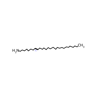 CCCCCCCCCCCCCCCCCCC/C=C/CCCCCCCN